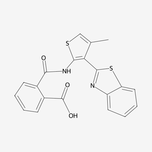 Cc1csc(NC(=O)c2ccccc2C(=O)O)c1-c1nc2ccccc2s1